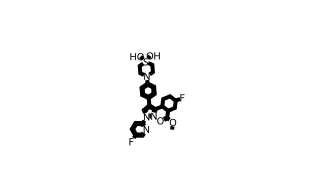 COC(=O)C1CC(F)CCC1c1nn(-c2ccc(F)cn2)cc1-c1ccc(N2CCS(O)(O)CC2)cc1